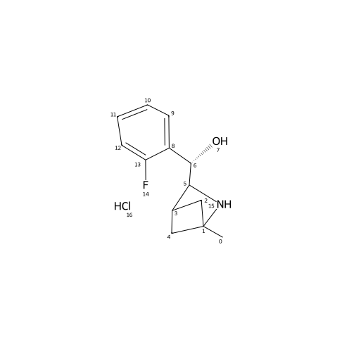 CC12CC(C1)C([C@@H](O)c1ccccc1F)N2.Cl